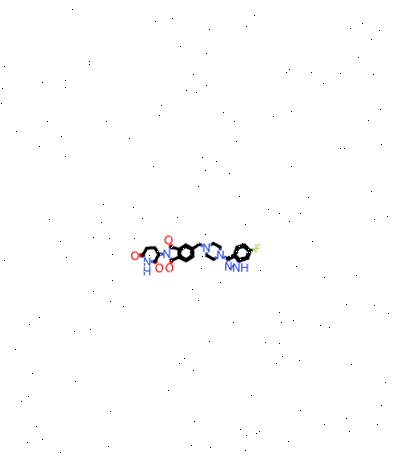 O=C1CCC(N2C(=O)c3ccc(CN4CCN(c5n[nH]c6cc(F)ccc56)CC4)cc3C2=O)C(=O)N1